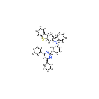 c1ccc(-c2cc(-c3ccccc3)nc(-c3cccc(-n4c5ccccc5c5cc6c(cc54)sc4ccccc46)c3)n2)cc1